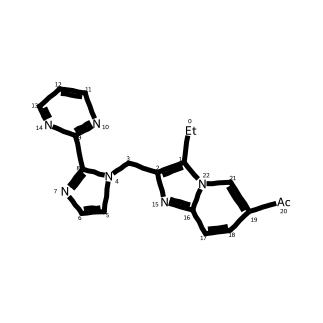 CCc1c(Cn2ccnc2-c2ncccn2)nc2ccc(C(C)=O)cn12